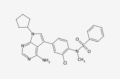 CN(c1ccc(-c2cn(C3CCCC3)c3ncnc(N)c23)cc1Cl)S(=O)(=O)c1ccccc1